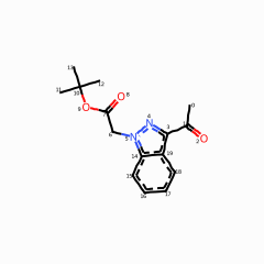 CC(=O)c1nn(CC(=O)OC(C)(C)C)c2ccccc12